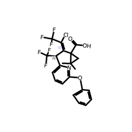 CC1(C)CC1(C(=O)O)/C(=C(\Cl)C(F)(F)F)[C@@H](c1cccc(Oc2ccccc2)n1)C(F)(F)F